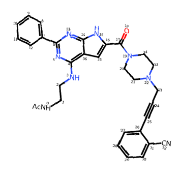 CC(=O)NCCNc1nc(-c2ccccc2)nc2[nH]c(C(=O)N3CCN(CC#Cc4ccccc4C#N)CC3)cc12